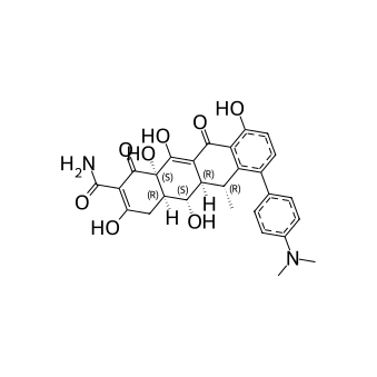 C[C@H]1c2c(-c3ccc(N(C)C)cc3)ccc(O)c2C(=O)C2=C(O)[C@]3(O)C(=O)C(C(N)=O)=C(O)C[C@@H]3[C@@H](O)[C@@H]21